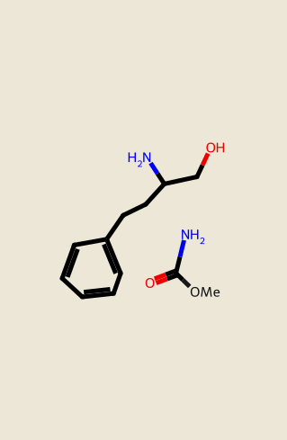 COC(N)=O.NC(CO)CCc1ccccc1